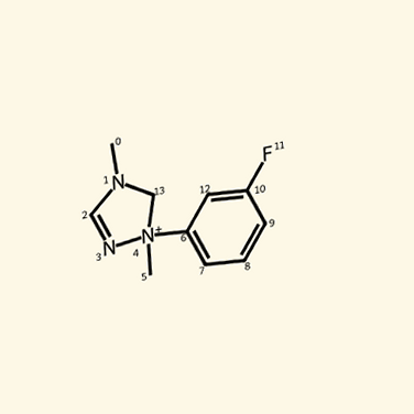 CN1C=N[N+](C)(c2cccc(F)c2)C1